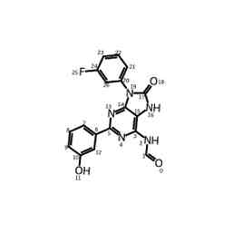 O=CNc1nc(-c2cccc(O)c2)nc2c1[nH]c(=O)n2-c1cccc(F)c1